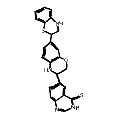 O=c1[nH]cnc2ccc(C3COc4cc(C5CNc6ccccc6S5)ccc4N3)cc12